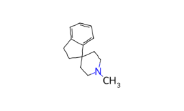 CN1CCC2(CCc3ccccc32)CC1